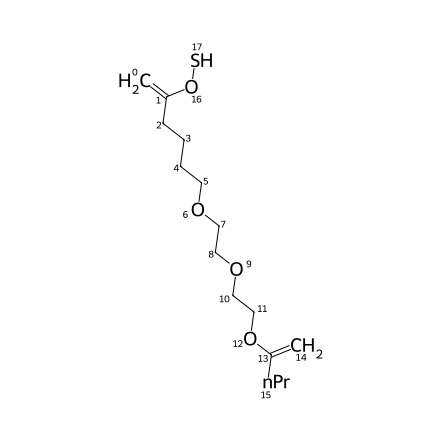 C=C(CCCCOCCOCCOC(=C)CCC)OS